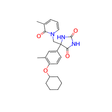 Cc1cc(C2(Cn3cccc(C)c3=O)NC(=O)NC2=O)ccc1OC1CCCCC1